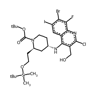 CC(C)(C)OC(=O)N1CC[C@H](Nc2c(CO)c(Cl)nc3c(F)c(Br)c(I)cc23)C[C@H]1CCO[Si](C)(C)C(C)(C)C